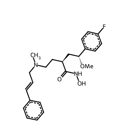 CO[C@H](C[C@H](CCN(C)CC=Cc1ccccc1)C(=O)NO)c1ccc(F)cc1